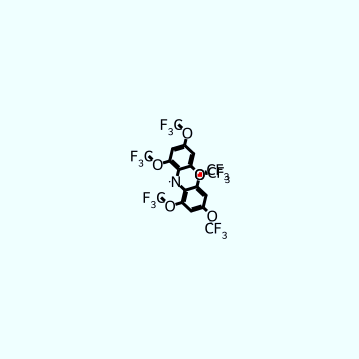 FC(F)(F)Oc1cc(OC(F)(F)F)c([N]c2c(OC(F)(F)F)cc(OC(F)(F)F)cc2OC(F)(F)F)c(OC(F)(F)F)c1